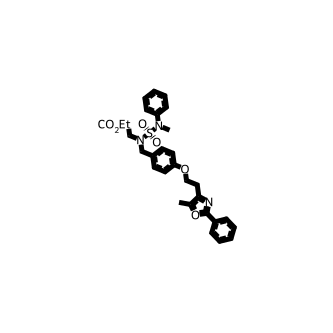 CCOC(=O)CN(Cc1ccc(OCCc2nc(-c3ccccc3)oc2C)cc1)S(=O)(=O)N(C)c1ccccc1